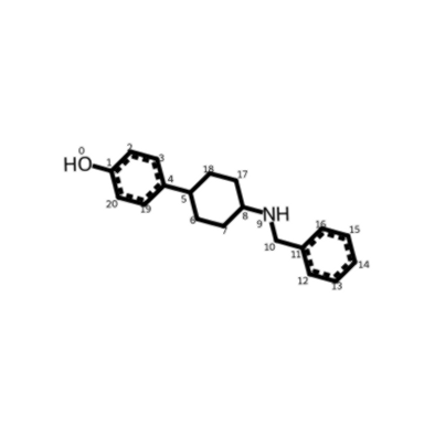 Oc1ccc(C2CCC(NCc3ccccc3)CC2)cc1